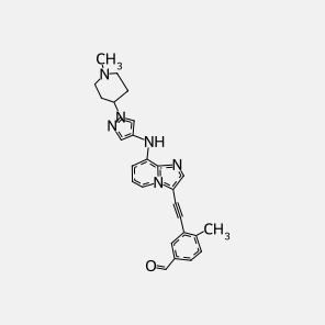 Cc1ccc(C=O)cc1C#Cc1cnc2c(Nc3cnn(C4CCN(C)CC4)c3)cccn12